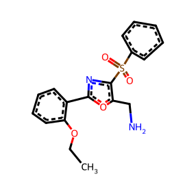 CCOc1ccccc1-c1nc(S(=O)(=O)c2ccccc2)c(CN)o1